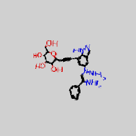 N/C(=C\N(N)c1cc(C#CC2OC(CO)[C@@H](O)C(O)C2O)c2[nH]ncc2c1)c1ccccc1